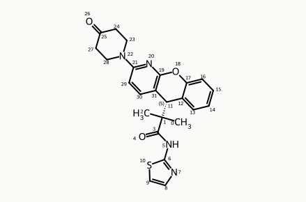 CC(C)(C(=O)Nc1nccs1)[C@H]1c2ccccc2Oc2nc(N3CCC(=O)CC3)ccc21